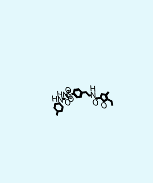 CCC1=C(C)CC(C(=O)NCCc2ccc(S(=O)(=O)NC(=O)NC3CCC(C)CC3)cc2)C1=O